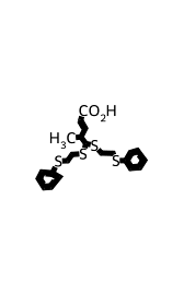 CC(C=CC(=O)O)C(SCCSc1ccccc1)SCCSc1ccccc1